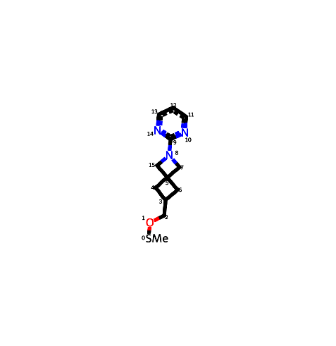 CSOCC1CC2(C1)CN(c1ncccn1)C2